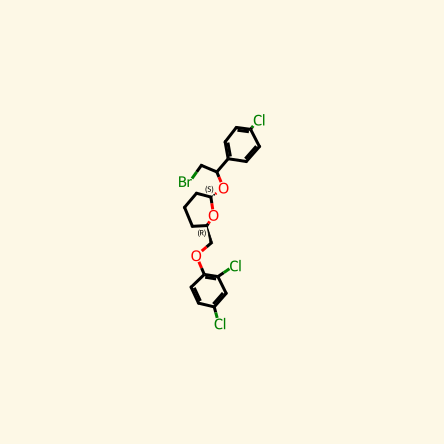 Clc1ccc(C(CBr)O[C@H]2CCC[C@H](COc3ccc(Cl)cc3Cl)O2)cc1